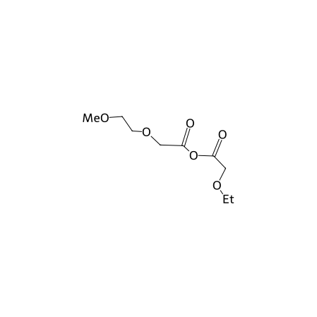 CCOCC(=O)OC(=O)COCCOC